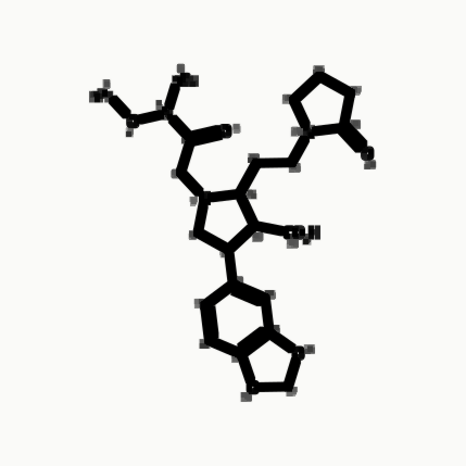 CCCCN(OCCC)C(=O)CN1CC(c2ccc3c(c2)OCO3)C(C(=O)O)C1CCN1CCCC1=O